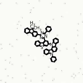 CC1(C)c2ccccc2-c2ccc(-c3nc(-c4ccccc4)nc(-c4cc(-n5c6ccccc6c6ccc7c(c8ccccc8n7-c7ccccc7)c65)cc5sc6ccccc6c45)n3)cc21